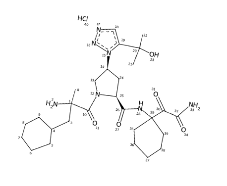 CC(N)(CC1CCCCC1)C(=O)N1C[C@@H](n2nncc2C(C)(C)O)C[C@H]1C(=O)NC1(C(=O)C(N)=O)CCCCC1.Cl